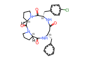 O=C1C[C@H](Cc2ccccc2)NC(=O)[C@@H]2CCCN2C(=O)[C@@H]2CCCN2C(=O)[C@H](Cc2ccc(Cl)cc2)N1